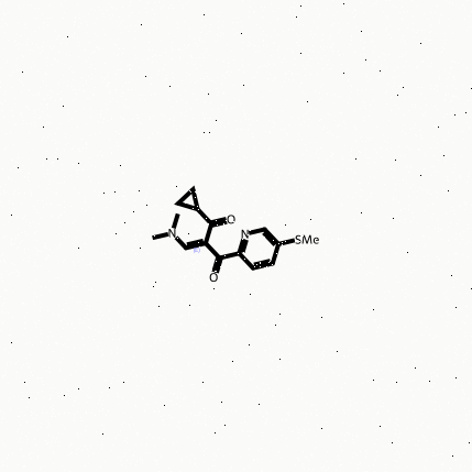 CSc1ccc(C(=O)/C(=C/N(C)C)C(=O)C2CC2)nc1